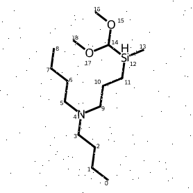 CCCCN(CCCC)CCC[SiH](C)C(OC)OC